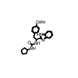 COc1ccc(CC(NC(=O)NC2CCCC2)c2nc3ccccc3[nH]2)cc1